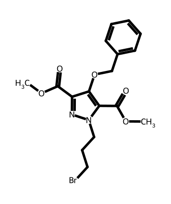 COC(=O)c1nn(CCCBr)c(C(=O)OC)c1OCc1ccccc1